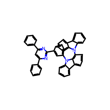 c1ccc(-c2cc(-c3ccccc3)nc(-c3cccc(-n4c5ccccc5c5cccc(-n6c7ccccc7c7ccccc76)c54)c3)n2)cc1